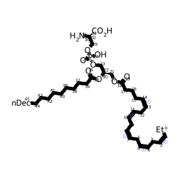 CC/C=C\C/C=C\C/C=C\C/C=C\C/C=C\CCCC(=O)OC[C@H](COP(=O)(O)OC[C@H](N)C(=O)O)OC(=O)CCCCCCCCCCCCCCCCCCC